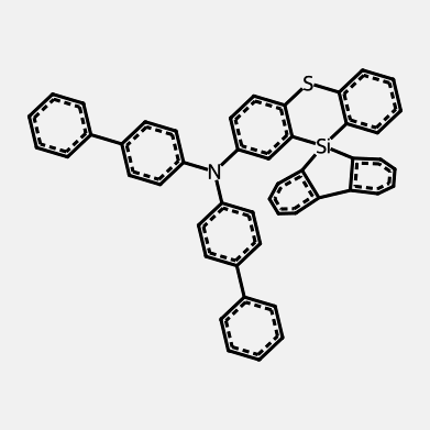 c1ccc(-c2ccc(N(c3ccc(-c4ccccc4)cc3)c3ccc4c(c3)[Si]3(c5ccccc5S4)c4ccccc4-c4ccccc43)cc2)cc1